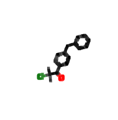 CC(C)(Cl)C(=O)c1ccc(Cc2ccccc2)cc1